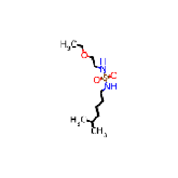 CCOCCNS(=O)(=O)NCCCCC(C)C